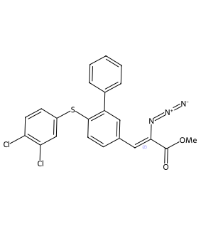 COC(=O)/C(=C/c1ccc(Sc2ccc(Cl)c(Cl)c2)c(-c2ccccc2)c1)N=[N+]=[N-]